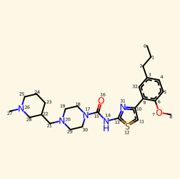 CCCc1ccc(OC)c(-c2csc(NC(=O)N3CCN(CC4CCCN(C)C4)CC3)n2)c1